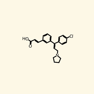 O=C(O)/C=C/c1cccc(C(=CCN2CCCC2)c2ccc(Cl)cc2)c1